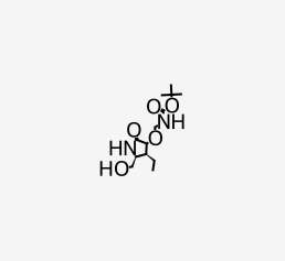 CC[C@@H]1C(OCNC(=O)OC(C)(C)C)C(=O)N[C@@H]1CO